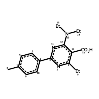 CCc1nc(-c2ccc(C)cc2)nc(N(CC)CC)c1C(=O)O